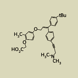 Cc1cc(OC/C=C(\c2ccc(C#CCN(C)C)cc2)c2ccc(C(C)(C)C)cc2)ccc1OCC(=O)O